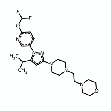 CC(C)c1cc(N2CCN(CCN3CCOCC3)CC2)nn1-c1ccc(OC(F)F)nc1